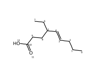 CCCC=CC(CC)CCC(=O)O